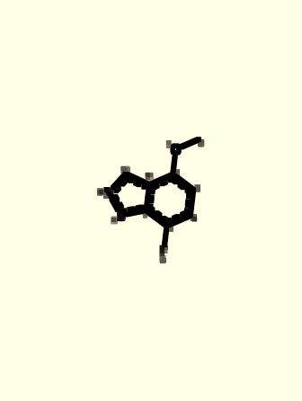 COc1ccc(F)c2sncc12